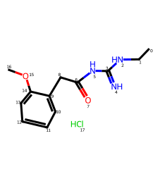 CCNC(=N)NC(=O)Cc1ccccc1OC.Cl